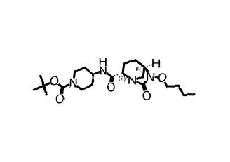 CCCCON1C(=O)N2C[C@H]1CC[C@H]2C(=O)NC1CCN(C(=O)OC(C)(C)C)CC1